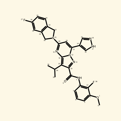 COc1cccc(NC(=O)c2nn3c(-c4cn[nH]c4)cc(N4Cc5ccc(F)cc5C4)nc3c2C(C)C)c1F